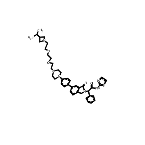 CC(C)C1CN(CCOCCOCCN2CCN(c3ccc(-c4ccc5c(c4)C(=O)N(C(C(=O)Nc4nccs4)c4ccccc4)C5)cc3)CC2)C1